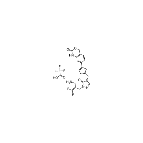 NCC(Cn1ncn(Cc2ccc(-c3ccc4c(c3)NC(=O)OC4)s2)c1=O)=C(F)F.O=C(O)C(F)(F)F